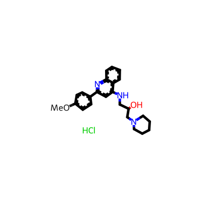 COc1ccc(-c2cc(NCC(O)CN3CCCCC3)c3ccccc3n2)cc1.Cl